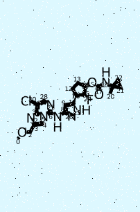 COCc1cn2c(Nc3cc([C@H]4CC[C@@H](OC(=O)NC5(C)CC5)[C@H]4F)[nH]n3)ncc(Cl)c2n1